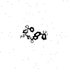 O=C(c1ccc2c(-c3ccccc3C(F)(F)F)cccc2c1)N1CC(N[C@H]2CCN(C(=O)c3ccccc3)C2)C1